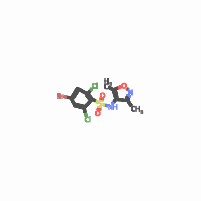 Cc1noc(C)c1NS(=O)(=O)c1c(Cl)cc(Br)cc1Cl